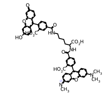 C/N=c1/ccc2c(-c3ccc(C(=O)NC(CCCCNC(=O)c4ccc(-c5c6ccc(=O)cc-6oc6cc(O)ccc56)c(C(=O)O)c4)C(=O)O)cc3C(=O)O)c3ccc(N(C)C)cc3oc-2c1